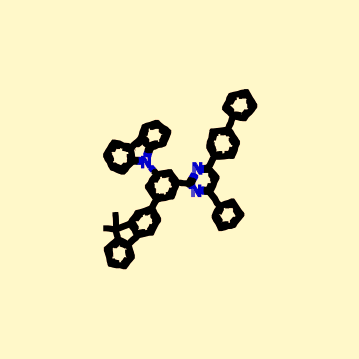 CC1(C)c2ccccc2-c2ccc(-c3cc(-c4nc(-c5ccccc5)cc(-c5ccc(-c6ccccc6)cc5)n4)cc(-n4c5ccccc5c5ccccc54)c3)cc21